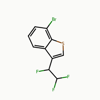 FC(F)C(F)c1csc2c(Br)cccc12